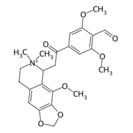 COc1cc(C(=O)CC2c3c(cc4c(c3OC)OCO4)CC[N+]2(C)C)cc(OC)c1C=O